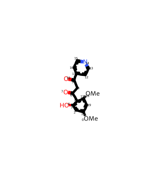 COc1cc(O)c(C(=O)CC(=O)c2ccncc2)c(OC)c1